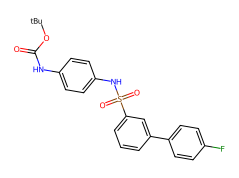 CC(C)(C)OC(=O)Nc1ccc(NS(=O)(=O)c2cccc(-c3ccc(F)cc3)c2)cc1